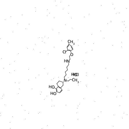 CCCN(CCCCCCNCCOc1ccc(C)cc1Cl)[C@H]1CCc2c(ccc(O)c2O)C1.Cl.Cl